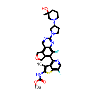 CC1(O)CCCN([C@H]2CCN(c3ncc4c5c(c(-c6ncc(F)c7sc(NC(=O)OC(C)(C)C)c(C#N)c67)c(F)c4n3)COC5)C2)C1